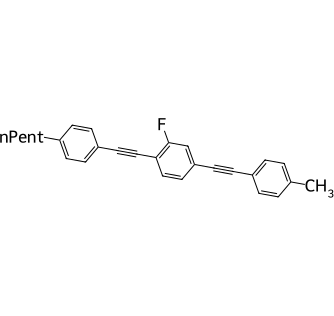 CCCCCc1ccc(C#Cc2ccc(C#Cc3ccc(C)cc3)cc2F)cc1